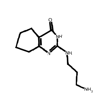 NCCCNc1nc2c(c(=O)[nH]1)CCCC2